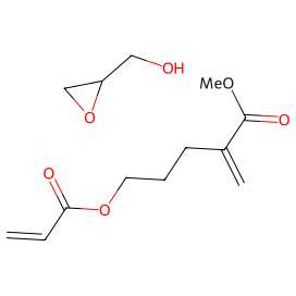 C=CC(=O)OCCCC(=C)C(=O)OC.OCC1CO1